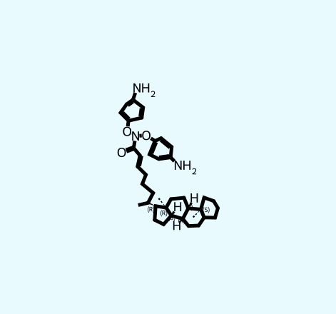 CC(CCCC=CC(=O)N(Oc1ccc(N)cc1)Oc1ccc(N)cc1)[C@H]1CC[C@H]2[C@@H]3CCC4CCCC[C@]4(C)[C@H]3CC[C@]12C